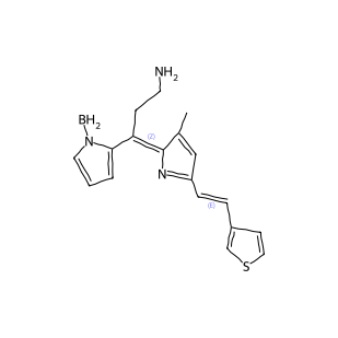 Bn1cccc1/C(CCN)=C1N=C(/C=C/c2ccsc2)C=C\1C